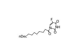 CCCCCCCCCCCCCCCCCC(=O)n1cc(F)c(=O)[nH]c1=O